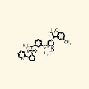 CO[C@@H]1CN(C(=O)c2cc(C)ccc2C)C[C@H]1Oc1cccc(C(C)S(=O)(=O)N2CCC[C@H]2c2ccccn2)c1